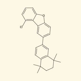 CC1(C)CCC(C)(C)c2cc(-c3ccc4oc5cccc(Cl)c5c4c3)ccc21